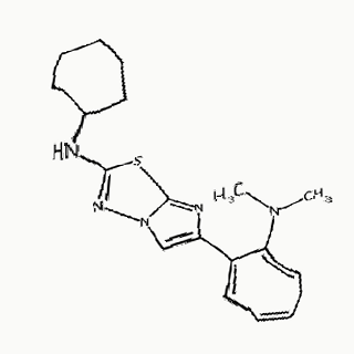 CN(C)c1ccccc1-c1cn2nc(NC3CCCCC3)sc2n1